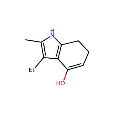 CCc1c(C)[nH]c2c1C(O)=CCC2